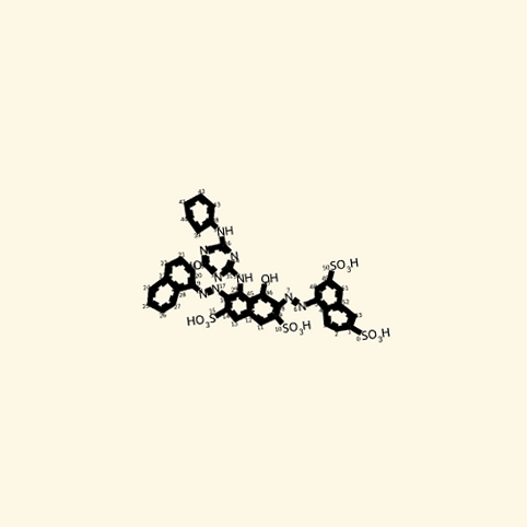 O=S(=O)(O)c1ccc2c(/N=N/c3c(S(=O)(=O)O)cc4cc(S(=O)(=O)O)c(/N=N/c5cccc6ccccc56)c(Nc5nc(O)nc(Nc6ccccc6)n5)c4c3O)cc(S(=O)(=O)O)cc2c1